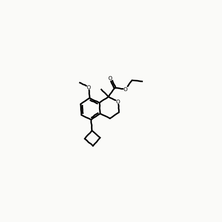 CCOC(=O)C1(C)OCCc2c(C3CCC3)ccc(OC)c21